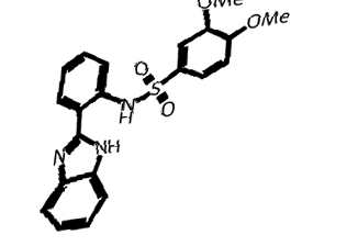 COC1C=CC(S(=O)(=O)Nc2ccccc2-c2nc3ccccc3[nH]2)=CC1OC